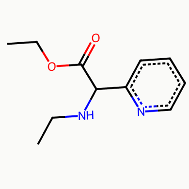 CCNC(C(=O)OCC)c1ccccn1